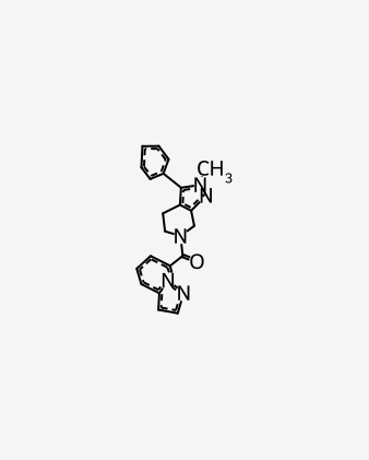 Cn1nc2c(c1-c1ccccc1)CCN(C(=O)c1cccc3ccnn13)C2